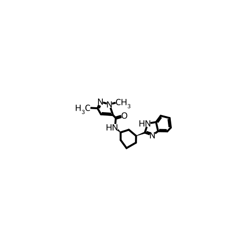 Cc1cc(C(=O)N[C@@H]2CCC[C@H](c3nc4ccccc4[nH]3)C2)n(C)n1